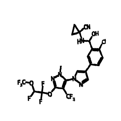 Cn1nc(OC(F)(F)C(F)OC(F)(F)F)c(C(F)(F)F)c1-n1cc(-c2ccc(Cl)c(C(O)NC3(C#N)CC3)c2)cn1